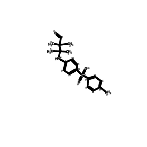 CC(C)(C=O)C(C)(C)Nc1ccc(S(=O)(=O)c2ccc(N)cc2)cc1